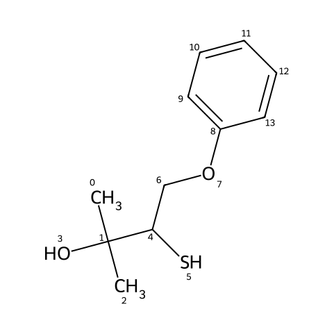 CC(C)(O)C(S)COc1ccccc1